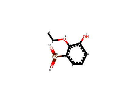 CCOc1c(O)cccc1[SH](=O)=O